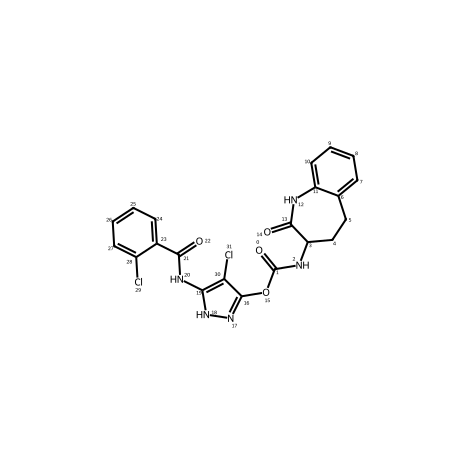 O=C(NC1CCc2ccccc2NC1=O)Oc1n[nH]c(NC(=O)c2ccccc2Cl)c1Cl